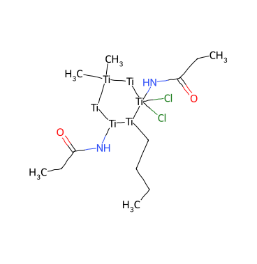 CCC[CH2][Ti]1[Ti]([NH]C(=O)CC)[Ti][Ti]([CH3])([CH3])[Ti][Ti]1([Cl])([Cl])[NH]C(=O)CC